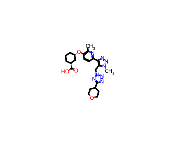 Cc1nc(-c2nnn(C)c2Cn2nnc(C3CCOCC3)n2)ccc1O[C@H]1CCC[C@H](C(=O)O)C1